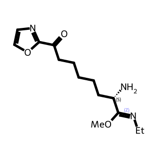 CC/N=C(\OC)[C@@H](N)CCCCCC(=O)c1ncco1